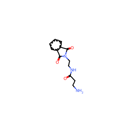 NCCC(=O)NCCN1C(=O)c2ccccc2C1=O